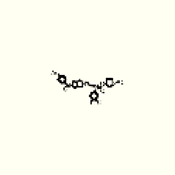 CC(=O)c1ccc(C(=O)N2CC3CN(CCCN(C(=O)OC4CCN(C(C)=O)CC4)c4ccc(C)c(Cl)c4)CC3C2)cc1